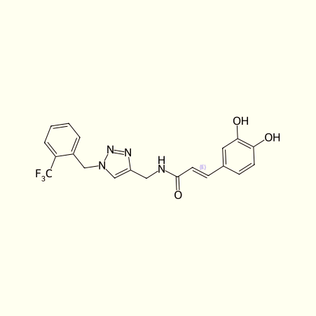 O=C(/C=C/c1ccc(O)c(O)c1)NCc1cn(Cc2ccccc2C(F)(F)F)nn1